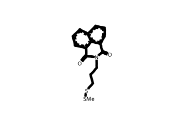 CSSCCCN1C(=O)c2cccc3cccc(c23)C1=O